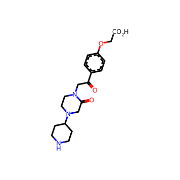 O=C(O)COc1ccc(C(=O)CN2CCN(C3CCNCC3)CC2=O)cc1